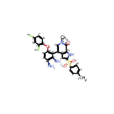 Cc1ccc(S(=O)(=O)c2cc3c(-c4c(Oc5ccc(F)cc5F)ccc(N)c4N)cn(C)c(=O)c3[nH]2)cc1